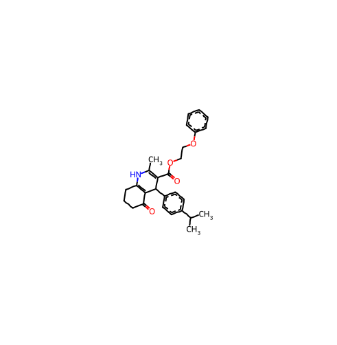 CC1=C(C(=O)OCCOc2ccccc2)C(c2ccc(C(C)C)cc2)C2=C(CCCC2=O)N1